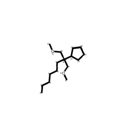 CCCCCCC(COC)(COC)C1CCCC1